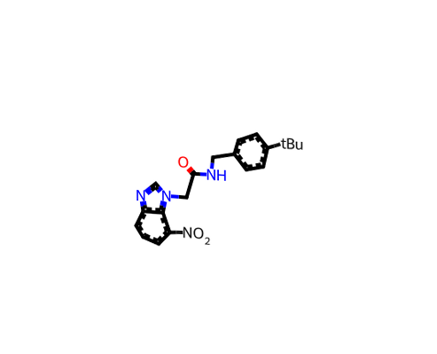 CC(C)(C)c1ccc(CNC(=O)Cn2cnc3cccc([N+](=O)[O-])c32)cc1